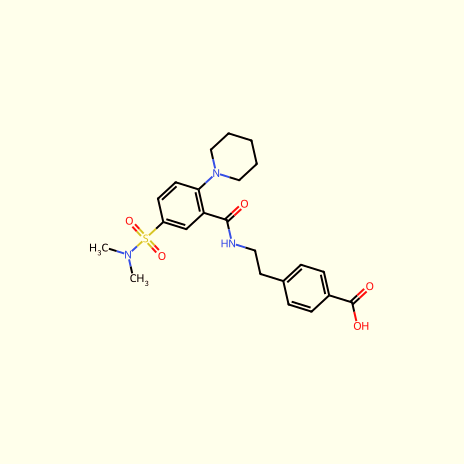 CN(C)S(=O)(=O)c1ccc(N2CCCCC2)c(C(=O)NCCc2ccc(C(=O)O)cc2)c1